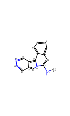 CCNc1cc2ccccc2c2c3cnncc3cn12